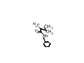 CC(C)=C(C)C(=O)NCc1ccccc1